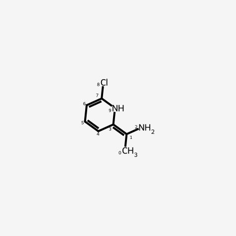 C/C(N)=C1\C=CC=C(Cl)N1